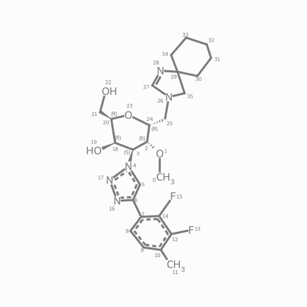 CO[C@@H]1[C@@H](n2cc(-c3ccc(C)c(F)c3F)nn2)[C@@H](O)[C@@H](CO)O[C@@H]1CN1C=NC2(CCCCC2)C1